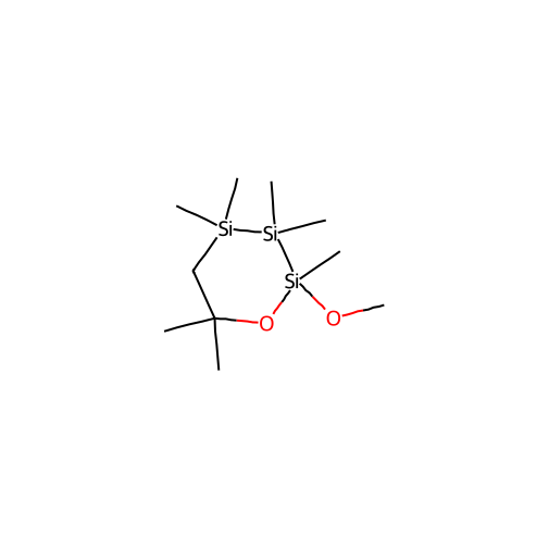 CO[Si]1(C)OC(C)(C)C[Si](C)(C)[Si]1(C)C